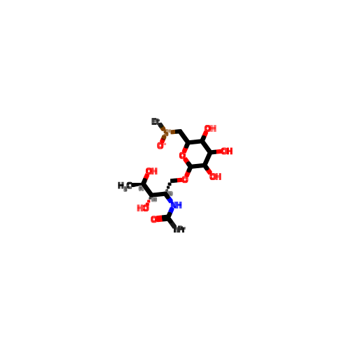 CCCC(=O)N[C@@H](COC1OC(C[S+]([O-])CC)C(O)C(O)C1O)[C@H](O)[C@@H](C)O